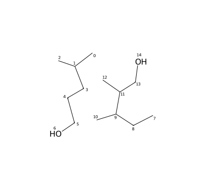 CC(C)CCCO.CCC(C)C(C)CO